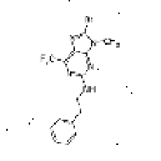 Cn1c(Br)nc2c(C(F)(F)F)nc(NCCc3ccccc3)nc21